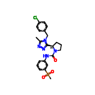 Cc1nnc([C@H]2CCCN2C(=O)Nc2cccc(S(C)(=O)=O)c2)n1Cc1ccc(Cl)cc1